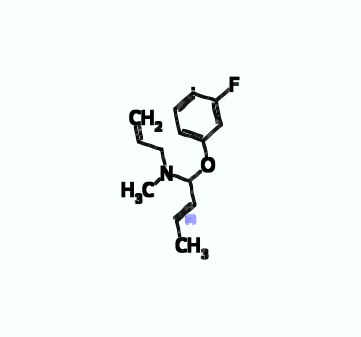 C=CCN(C)C(/C=C/C)Oc1cc[c]c(F)c1